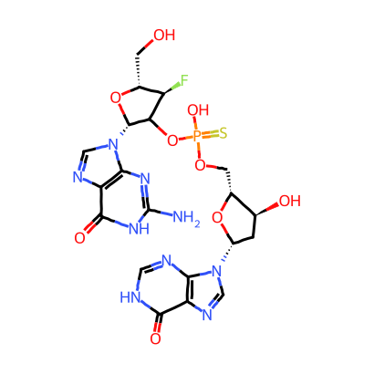 Nc1nc2c(ncn2[C@@H]2O[C@H](CO)[C@@H](F)C2OP(O)(=S)OC[C@H]2O[C@@H](n3cnc4c(=O)[nH]cnc43)C[C@@H]2O)c(=O)[nH]1